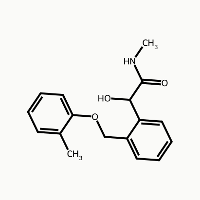 CNC(=O)C(O)c1ccccc1COc1ccccc1C